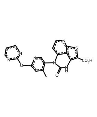 Cc1cc(Oc2ncccn2)ncc1N1C(=O)Nc2c(C(=O)O)sc3nccc1c23